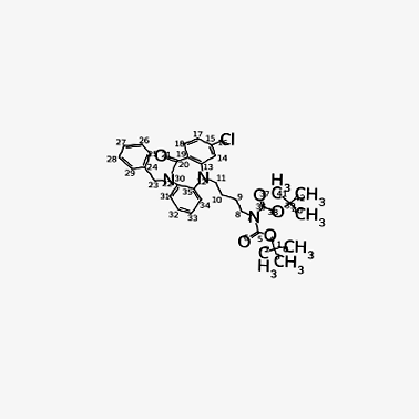 CC(C)(C)OC(=O)N(CCCCN1c2cc(Cl)ccc2C(=O)N(Cc2ccccc2)c2ccccc21)C(=O)OC(C)(C)C